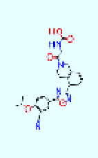 CC(C)Oc1ccc(-c2nc(-c3cccc4c3CCN(C(=O)CNC(=O)O)C4)no2)cc1C#N